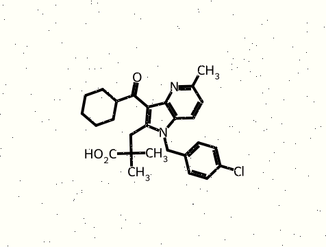 Cc1ccc2c(n1)c(C(=O)C1CCCCC1)c(CC(C)(C)C(=O)O)n2Cc1ccc(Cl)cc1